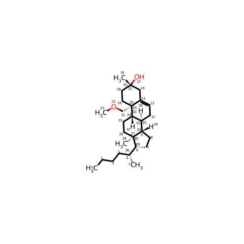 CCCC[C@@H](C)[C@H]1CC[C@H]2[C@@H]3CC=C4C[C@@](C)(O)CC[C@]4(COC)[C@H]3CC[C@]12C